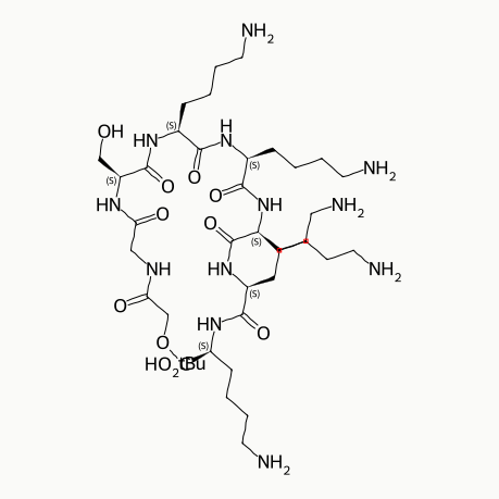 CC(C)(C)OCC(=O)NCC(=O)N[C@@H](CO)C(=O)N[C@@H](CCCCN)C(=O)N[C@@H](CCCCN)C(=O)N[C@@H](CCCCN)C(=O)N[C@@H](CCCCN)C(=O)N[C@@H](CCCCN)C(=O)O